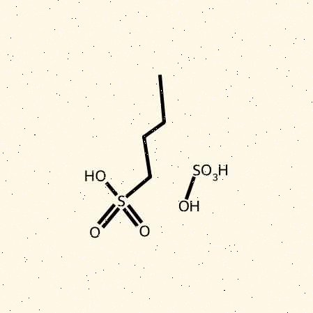 CCCCS(=O)(=O)O.O=S(=O)(O)O